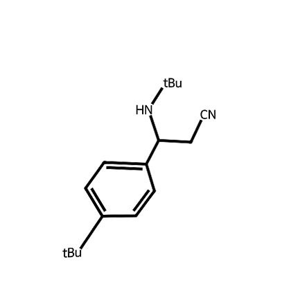 CC(C)(C)NC(CC#N)c1ccc(C(C)(C)C)cc1